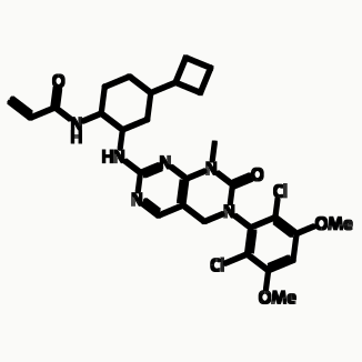 C=CC(=O)NC1CCC(C2CCC2)CC1Nc1ncc2c(n1)N(C)C(=O)N(c1c(Cl)c(OC)cc(OC)c1Cl)C2